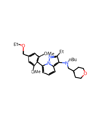 CCCCN(CC1CCOCC1)c1c(CC)nn2c(-c3c(OC)cc(COCC)cc3OC)cccc12